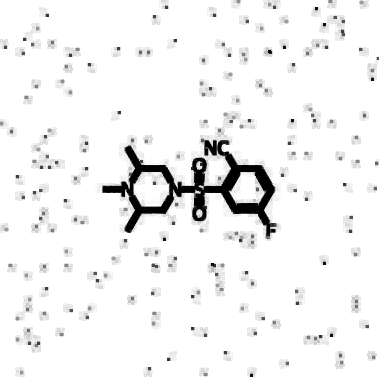 CC1CN(S(=O)(=O)c2cc(F)ccc2C#N)CC(C)N1C